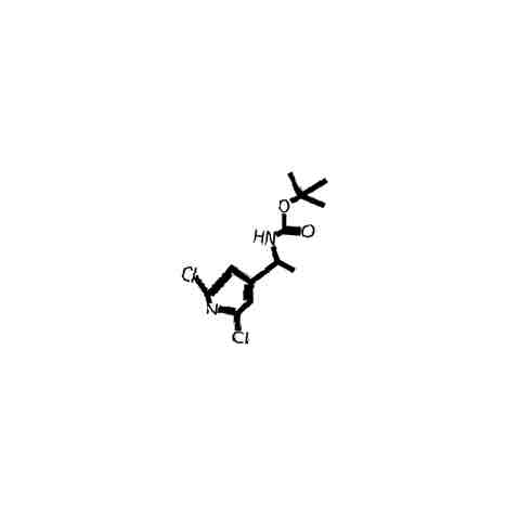 CC(NC(=O)OC(C)(C)C)c1cc(Cl)nc(Cl)c1